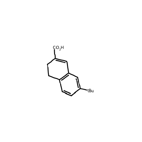 CC(C)(C)c1ccc2c(c1)C=C(C(=O)O)CC2